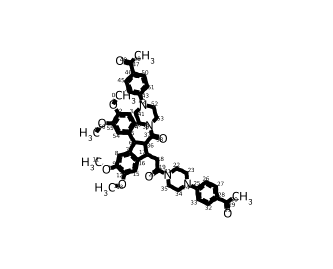 COc1ccc(C2c3cc(OC)c(OC)cc3C(CC(=O)N3CCN(c4ccc(C(C)=O)cc4)CC3)C2C(=O)N2CCN(c3ccc(C(C)=O)cc3)CC2)cc1OC